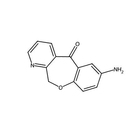 Nc1ccc2c(c1)C(=O)c1cccnc1CO2